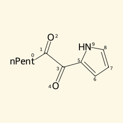 CCCCCC(=O)C(=O)c1ccc[nH]1